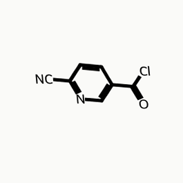 N#Cc1ccc(C(=O)Cl)cn1